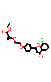 CCOC(=O)C1CC1OCCOc1ccc(-c2cc(=O)c3cccc(Cl)c3o2)cc1